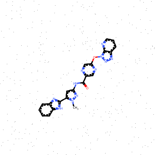 Cn1nc(NC(=O)c2cnc(On3nnc4cccnc43)cn2)cc1-c1nc2ccccc2[nH]1